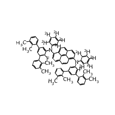 [2H]c1c([2H])c([2H])c(N(c2cc(-c3cccc(C)c3C)cc(-c3cccc(C)c3C)c2F)c2ccc3ccc4c(N(c5cc(-c6cccc(C)c6C)cc(-c6cccc(C)c6C)c5F)c5c([2H])c([2H])c([2H])c([2H])c5[2H])ccc5ccc2c3c54)c([2H])c1[2H]